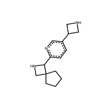 c1cc(C2NCC23CCCC3)ncc1C1CNC1